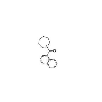 O=C(c1cccc2ccccc12)N1CCCCCC1